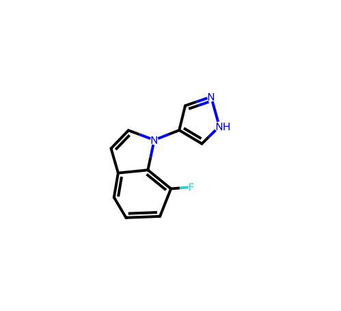 Fc1cccc2ccn(-c3cn[nH]c3)c12